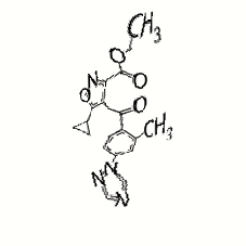 CCOC(=O)c1noc(C2CC2)c1C(=O)c1ccc(-n2cncn2)cc1C